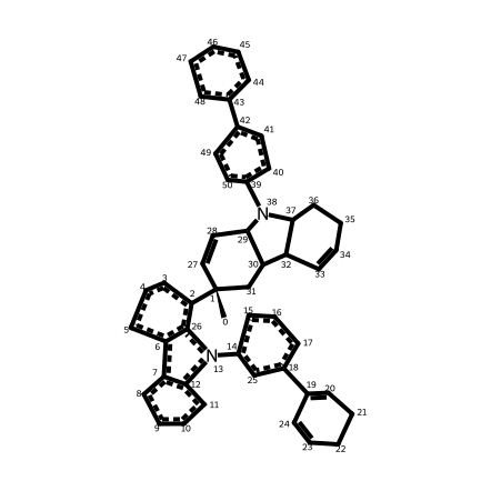 C[C@@]1(c2cccc3c4ccccc4n(-c4cccc(C5=CCCC=C5)c4)c23)C=CC2C(C1)C1C=CCCC1N2c1ccc(-c2ccccc2)cc1